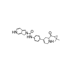 CC1(C)CC1C(=O)C1CC(c2ccc(NC(=O)N3C=C4C=CNC=C4C3)cc2)=CCN1